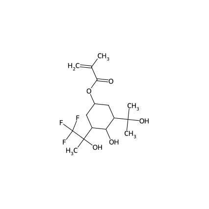 C=C(C)C(=O)OC1CC(C(C)(C)O)C(O)C(C(C)(O)C(F)(F)F)C1